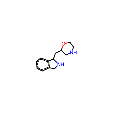 c1ccc2c(c1)CN[C]2CC1CNCCO1